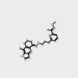 CO/N=C(\C)c1cccc(CCCO/N=C2\CCCc3c2nc2ccsc2c3C)n1